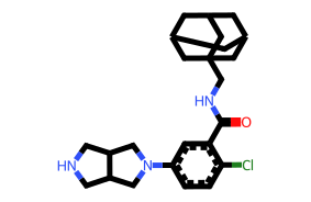 O=C(NCC12CC3CC(CC(C3)C1)C2)c1cc(N2CC3CNCC3C2)ccc1Cl